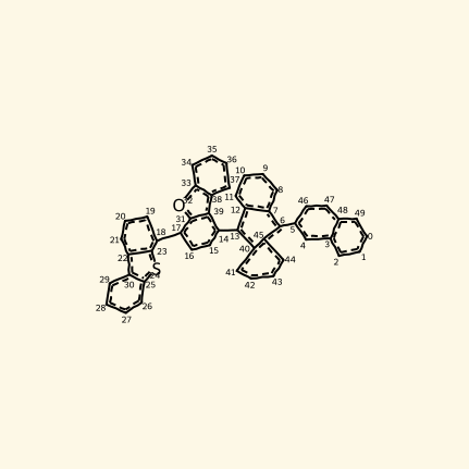 c1ccc2cc(-c3c4ccccc4c(-c4ccc(-c5cccc6c5sc5ccccc56)c5oc6ccccc6c45)c4ccccc34)ccc2c1